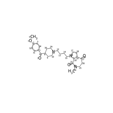 COc1ccc(C(=O)C2CCN(CCCCn3ccc4c3C(=O)N(C)CCC4=O)CC2)cc1